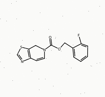 O=C(OCc1ccccc1F)N1C=Cc2ncsc2C1